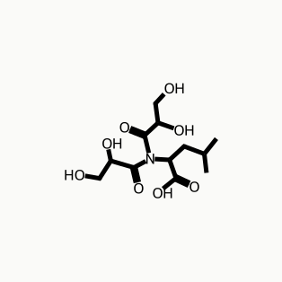 CC(C)CC(C(=O)O)N(C(=O)C(O)CO)C(=O)C(O)CO